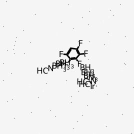 B.B.B.B.B.B.C#N.C#N.C#N.Fc1cc(F)c(F)c(F)c1F.[Ir]